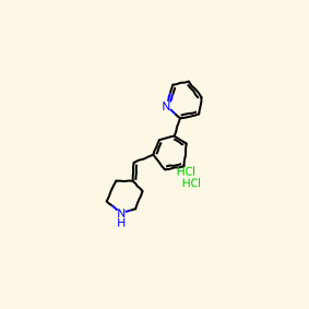 C(=C1CCNCC1)c1cccc(-c2ccccn2)c1.Cl.Cl